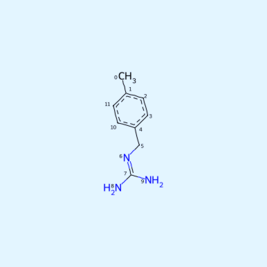 Cc1ccc(CN=C(N)N)cc1